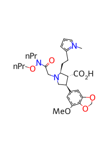 CCCON(CCC)C(=O)CN1C[C@H](c2cc(OC)c3c(c2)OCO3)[C@@H](C(=O)O)[C@@H]1CCc1cccn1C